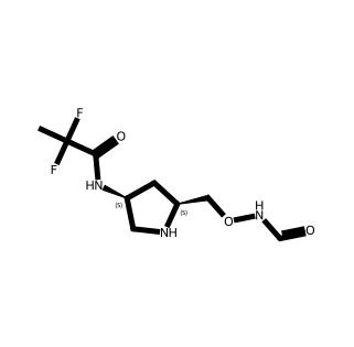 CC(F)(F)C(=O)N[C@@H]1CN[C@H](CONC=O)C1